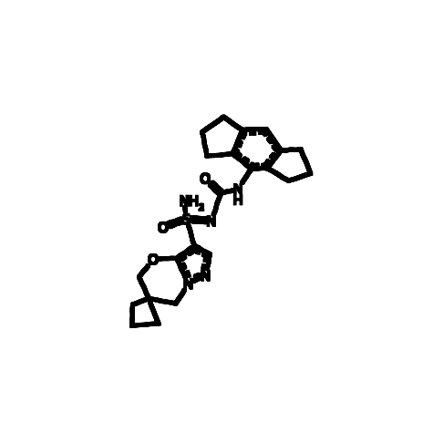 NS(=O)(=NC(=O)Nc1c2c(cc3c1CCC3)CCC2)c1cnn2c1OCC1(CCC1)C2